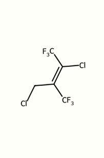 FC(F)(F)C(Cl)=C(CCl)C(F)(F)F